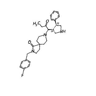 CCC(=O)C([C@@H]1CNC[C@@H]1c1ccccc1)N1CCC2(CCN(Cc3ccc(F)cc3)C2=O)CC1